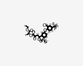 CCOC(=O)C(C)OC(=O)C(=O)CC(=O)c1cc(Oc2ccc(C(F)(F)F)cc2Cl)ccc1[N+](=O)[O-]